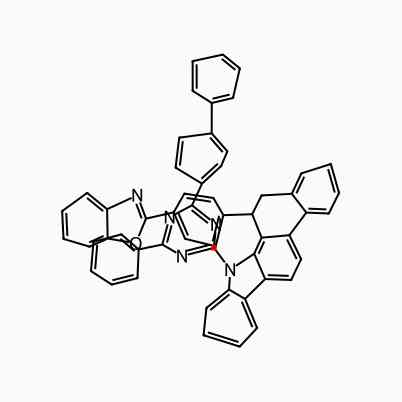 c1ccc(-c2ccc(-c3nc(-c4ccccc4)nc(-n4c5ccccc5c5ccc6c(c54)C(c4ccc(-c5nc7ccccc7o5)cc4)Cc4ccccc4-6)n3)cc2)cc1